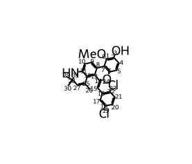 COc1c(O)ccc2c1-c1ccc3c(c1/C(=C/c1cc(Cl)ccc1Cl)O2)C(C)=CC(C)(C)N3